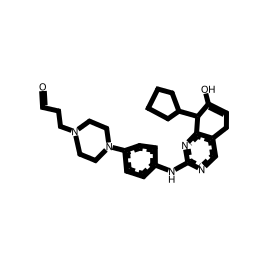 O=CCCN1CCN(c2ccc(Nc3ncc4c(n3)C(C3CCCC3)C(O)=CC4)cc2)CC1